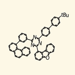 CC(C)(C)c1ccc(-c2ccc(-c3nc(-c4cccc(-c5cccc6ccc7ccccc7c56)c4)nc(-c4cccc5oc6ccccc6c45)n3)cc2)cc1